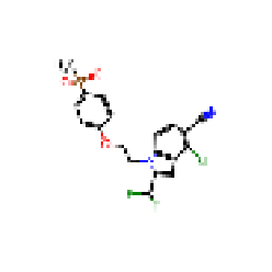 CS(=O)(=O)c1ccc(OCCn2c(C(F)F)cc3c(Cl)c(C#N)ccc32)cc1